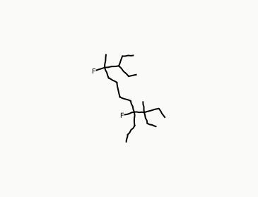 CCCC(F)(CCCCC(C)(F)C(CC)CC)C(C)(CC)CC